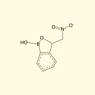 O=[N+]([O-])CC1OB(O)c2ccccc21